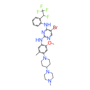 COc1cc(N2CCC(N3CCN(C)CC3)CC2)c(C)cc1Nc1ncc(Br)c(Nc2ccccc2C(F)C(F)(F)F)n1